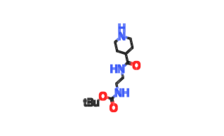 CC(C)(C)OC(=O)NCCNC(=O)C1CCNCC1